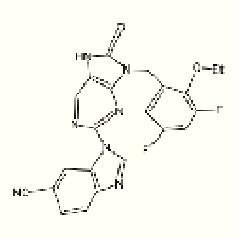 CCOc1c(F)cc(F)cc1Cn1c(=O)[nH]c2cnc(-n3cnc4ccc(C#N)cc43)nc21